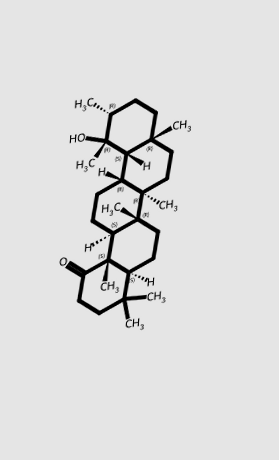 C[C@@H]1CC[C@]2(C)CC[C@]3(C)[C@H](CC[C@@H]4[C@@]5(C)C(=O)CCC(C)(C)[C@@H]5CC[C@]43C)[C@@H]2[C@]1(C)O